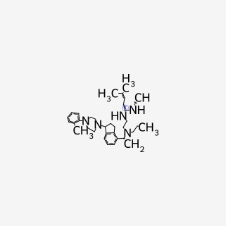 C#CN/C(=C\C=C(C)C)NCCN(CCC)C(=C)c1cccc2c1CCC2N1CCN(c2ccccc2C)CC1